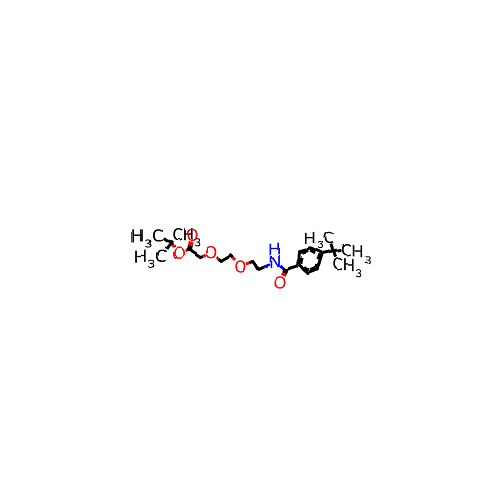 CC(C)(C)OC(=O)COCCOCCNC(=O)c1ccc(C(C)(C)C)cc1